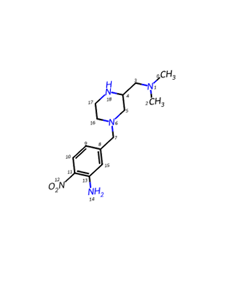 CN(C)CC1CN(Cc2ccc([N+](=O)[O-])c(N)c2)CCN1